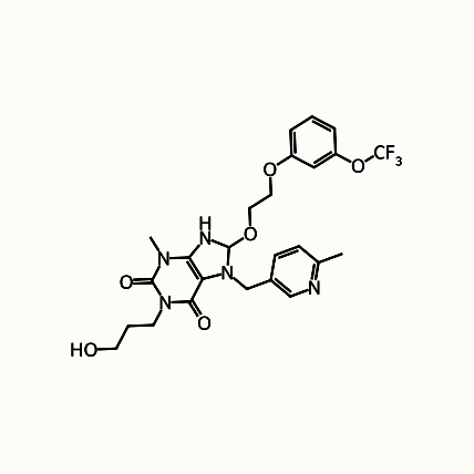 Cc1ccc(CN2c3c(n(C)c(=O)n(CCCO)c3=O)NC2OCCOc2cccc(OC(F)(F)F)c2)cn1